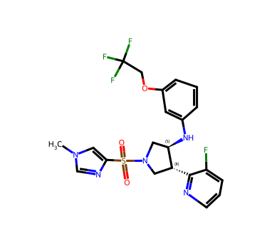 Cn1cnc(S(=O)(=O)N2C[C@@H](Nc3cccc(OCC(F)(F)F)c3)[C@H](c3ncccc3F)C2)c1